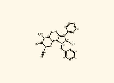 CC1C(=O)C(C#N)CC2=C3C(=C(c4ccccc4)N(C)N3Cc3ccccc3)CCC21